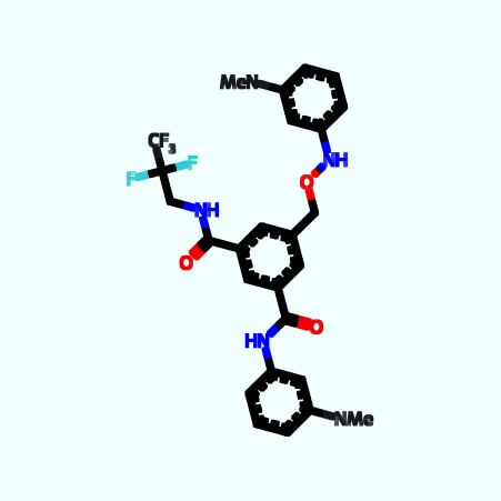 CNc1cccc(NOCc2cc(C(=O)NCC(F)(F)C(F)(F)F)cc(C(=O)Nc3cccc(NC)c3)c2)c1